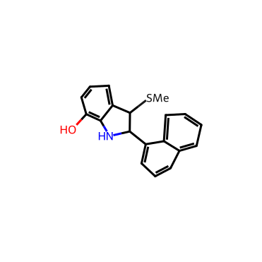 CSC1c2cccc(O)c2NC1c1cccc2ccccc12